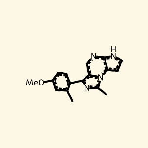 COc1ccc(-c2nc(C)n3c2cnc2[nH]ccc23)c(C)c1